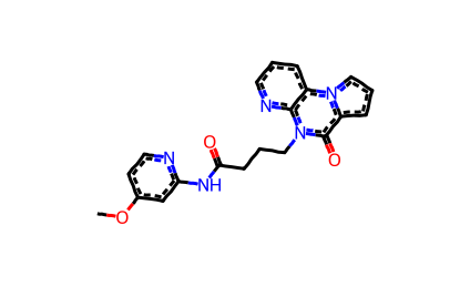 COc1ccnc(NC(=O)CCCn2c(=O)c3cccn3c3cccnc32)c1